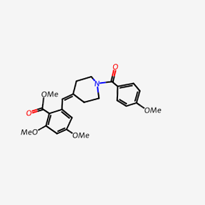 COC(=O)c1c(C=C2CCN(C(=O)c3ccc(OC)cc3)CC2)cc(OC)cc1OC